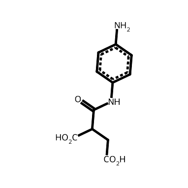 Nc1ccc(NC(=O)C(CC(=O)O)C(=O)O)cc1